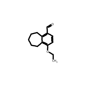 CCOc1ccc(C=O)c2c1CCCCC2